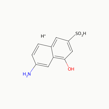 Nc1ccc2cc(S(=O)(=O)O)cc(O)c2c1.[H+]